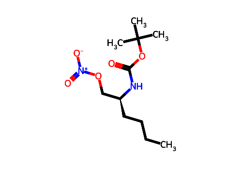 CCCC[C@@H](CO[N+](=O)[O-])NC(=O)OC(C)(C)C